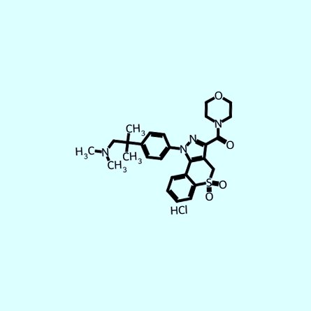 CN(C)CC(C)(C)c1ccc(-n2nc(C(=O)N3CCOCC3)c3c2-c2ccccc2S(=O)(=O)C3)cc1.Cl